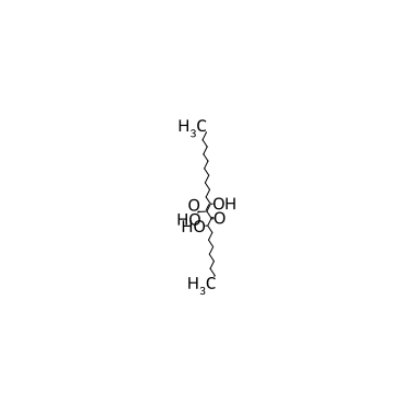 CCCCCCCCCCCC(O)=C(C(=O)O)C(=O)C(O)CCCCCCCC